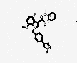 COc1ccc(F)c2c(C(=O)N[C@H]3CCCC[C@@H]3O)cn(Cc3ccc(-c4cnn(C)c4)cc3)c12